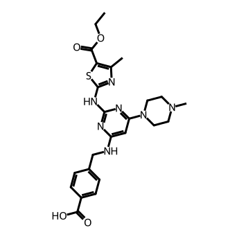 CCOC(=O)c1sc(Nc2nc(NCc3ccc(C(=O)O)cc3)cc(N3CCN(C)CC3)n2)nc1C